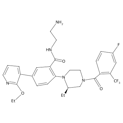 CCOc1ncccc1-c1ccc(N2CCN(C(=O)c3ccc(F)cc3C(F)(F)F)C[C@H]2CC)c(C(=O)NCCN)c1